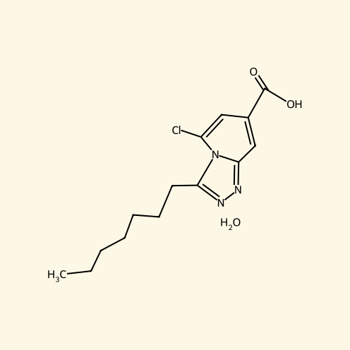 CCCCCCCc1nnc2cc(C(=O)O)cc(Cl)n12.O